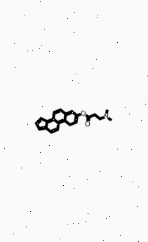 CN(C)CCC(=O)OC1=CCc2c(ccc3c4c(ccc23)=CC=C4)=C1